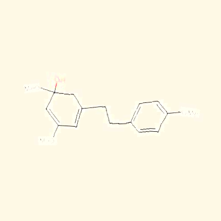 COC1=CC(O)(OC)CC(CCc2ccc(OC)cc2)=C1